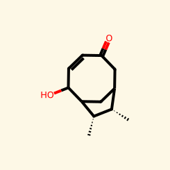 C[C@@H]1C2CC(CC(=O)/C=C\C2O)[C@@H]1C